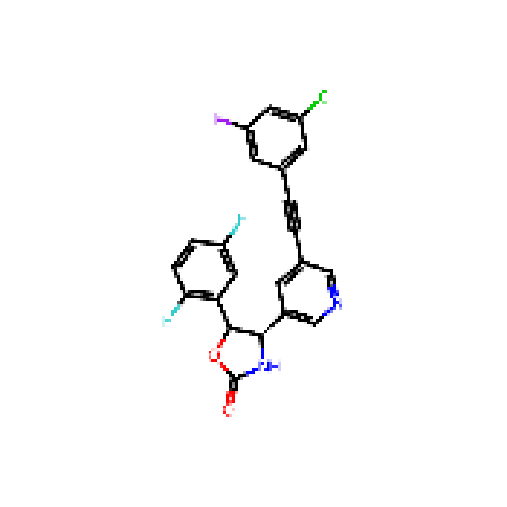 O=C1N[C@H](c2cncc(C#Cc3cc(Cl)cc(I)c3)c2)C(c2cc(F)ccc2F)O1